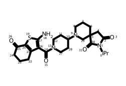 CC(C)N1C(=O)CC2(CCCN(C3CCN(C(=O)c4c(N)sc5c4CCCC5=O)CC3)C2)C1=O